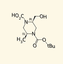 C[C@H]1CN(C(=O)O)[C@@H](CO)CN1C(=O)OC(C)(C)C